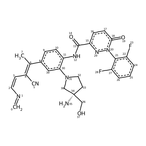 C=N/C=C\C(C#N)=C(/C)c1ccc(NC(=O)c2ccc(=O)n(-c3c(F)cccc3F)n2)c(N2CC[C@@](N)(CO)C2)c1